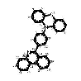 c1ccc2c(c1)Sc1ccccc1N2c1ccc(-c2nc3ccccc3c3ccccc23)cc1